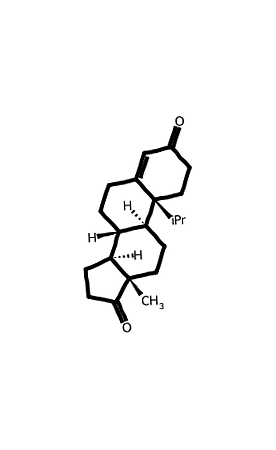 CC(C)[C@]12CCC(=O)C=C1CC[C@@H]1[C@@H]2CC[C@]2(C)C(=O)CC[C@@H]12